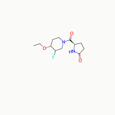 CCOC1CCN(C(=O)[C@H]2CCC(=O)N2)C[C@H]1F